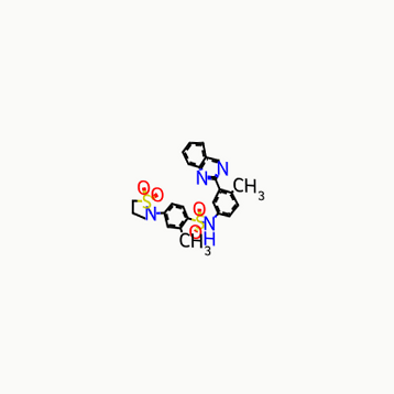 Cc1ccc(NS(=O)(=O)c2ccc(N3CCCS3(=O)=O)cc2C)cc1-c1ncc2ccccc2n1